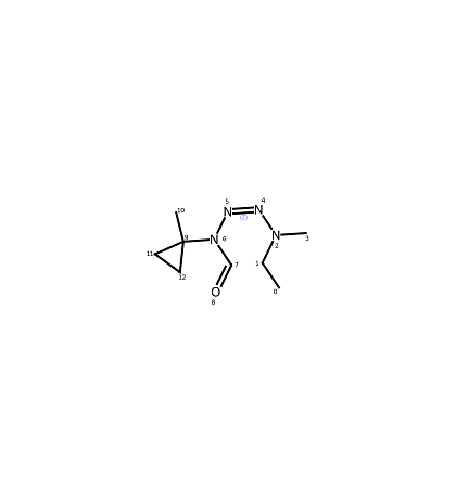 CCN(C)/N=N\N(C=O)C1(C)CC1